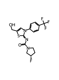 O=C(/N=c1\sc(CO)cn1-c1ccc(C(F)(F)F)cc1)N1CC[C@@H](F)C1